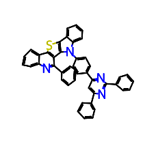 c1ccc(-c2cc(-c3ccc(-n4c5ccccc5c5sc6c7ccccc7nc(-c7ccccc7)c6c54)cc3)nc(-c3ccccc3)n2)cc1